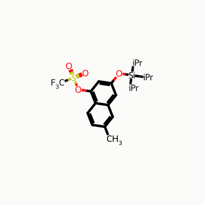 Cc1ccc2c(OS(=O)(=O)C(F)(F)F)cc(O[Si](C(C)C)(C(C)C)C(C)C)cc2c1